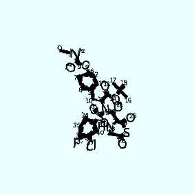 CN(C)C(=O)Oc1ccc(C[C@@H](C(=O)OC(C)(C)C)N(C(=O)C2NCC(=O)SC2=O)S(=O)(=O)c2ccc(F)c(Cl)c2)cc1